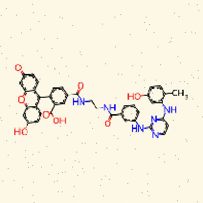 Cc1ccc(O)cc1Nc1ccnc(Nc2cccc(C(=O)NCCNC(=O)c3ccc(-c4c5ccc(=O)cc-5oc5cc(O)ccc45)c(C(=O)O)c3)c2)n1